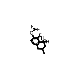 [2H]C1([2H])CC(C)Cc2ccc(OC(F)F)c(F)c21